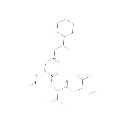 CC(=O)[C@H](CN)NC(=O)C(NC(=O)[C@H](CCN)NC(=O)CC(N)C1CCCCC1)C(C)O